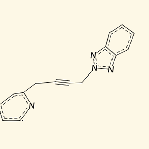 C(#CCn1nc2ccccc2n1)Cc1ccc[c]n1